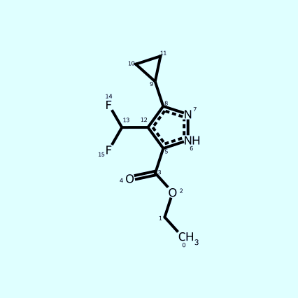 CCOC(=O)c1[nH]nc(C2CC2)c1C(F)F